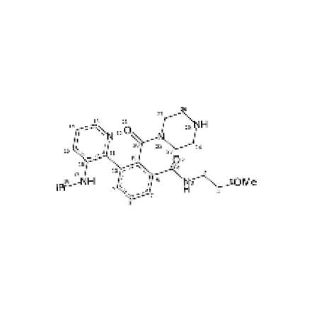 COCCNC(=O)c1cccc(-c2ncccc2NC(C)C)c1C(=O)N1CCNCC1